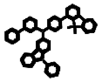 CC1(C)c2ccccc2-c2cccc(-c3ccc(N(c4cccc(-c5ccccc5)c4)c4ccc5c(c4)c4ccccc4n5-c4ccccc4)cc3)c21